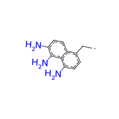 [CH2]Cc1ccc(N)c2c(N)c(N)ccc12